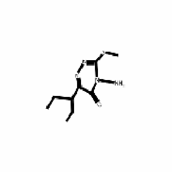 CCC(CC)c1nnc(SC)n(N)c1=O